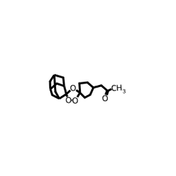 CC(=O)CC1CCC2(CC1)OOC1(O2)C2CC3CC(C2)CC1C3